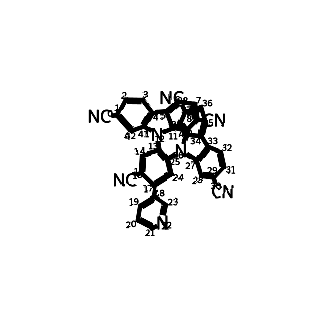 N#Cc1ccc2c3ccc(C#N)cc3n(-c3cc(C#N)c(-c4cccnc4)cc3-n3c4cc(C#N)ccc4c4ccc(C#N)cc43)c2c1